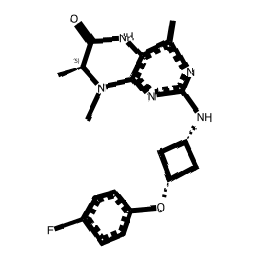 Cc1nc(N[C@H]2C[C@@H](Oc3ccc(F)cc3)C2)nc2c1NC(=O)[C@H](C)N2C